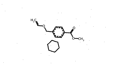 C1CCCCC1.C=COCc1ccc(C(=O)OC)cc1